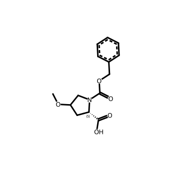 COC1C[C@@H](C(=O)O)N(C(=O)OCc2ccccc2)C1